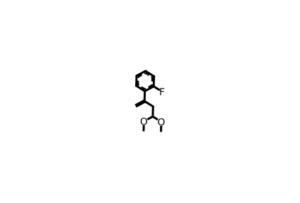 C=C(CC(OC)OC)c1ccccc1F